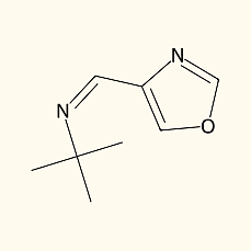 CC(C)(C)/N=C\c1cocn1